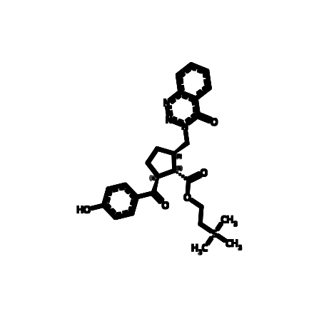 CS(C)(C)CCOC(=O)[C@H]1[C@H](Cn2nnc3ccccc3c2=O)CC[C@@H]1C(=O)c1ccc(O)cc1